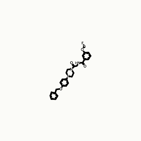 O=C(NCC(=O)N1CCN(c2ccc(OCc3ccccc3)cc2)CC1)c1cccc(OOF)c1